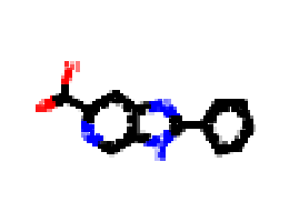 O=C(O)c1cc2nc(-c3ccccc3)[nH]c2cn1